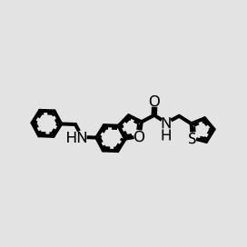 O=C(NCc1cccs1)c1cc2cc(NCc3ccccc3)ccc2o1